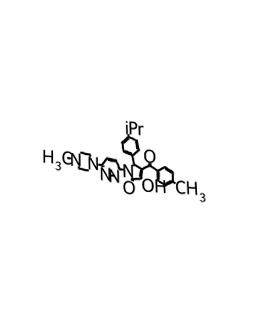 Cc1ccc(C(=O)C2=C(O)C(=O)N(c3ccc(N4CCN(C)CC4)nn3)C2c2ccc(C(C)C)cc2)cc1